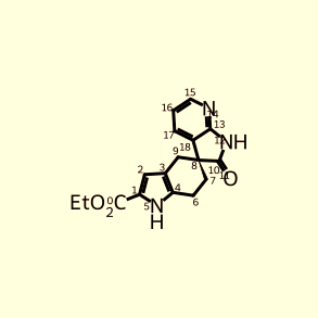 CCOC(=O)c1cc2c([nH]1)CC[C@]1(C2)C(=O)Nc2ncccc21